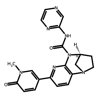 Cn1cc(-c2ccc3c(n2)N(C(=O)Nc2cnccn2)[C@H]2CCN3C2)ccc1=O